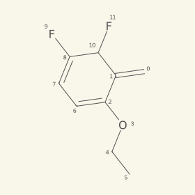 C=C1C(OCC)=CC=C(F)C1F